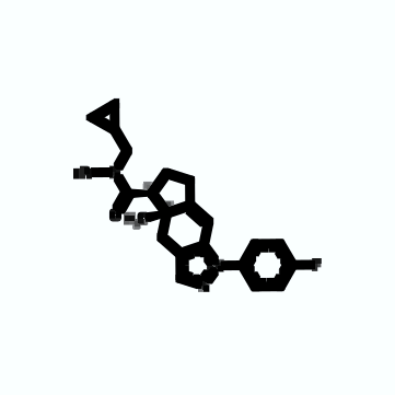 CCCN(CC1CC1)C(=O)[C@H]1CCC2=Cc3c(cnn3-c3ccc(F)cc3)C[C@@]21C